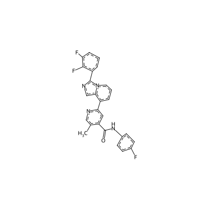 Cc1cnc(-c2cccn3c(-c4cccc(F)c4F)ncc23)cc1C(=O)Nc1ccc(F)cc1